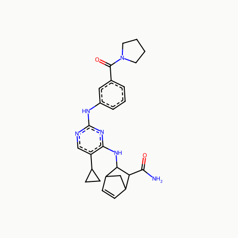 NC(=O)C1C2C=CC(C2)C1Nc1nc(Nc2cccc(C(=O)N3CCCC3)c2)ncc1C1CC1